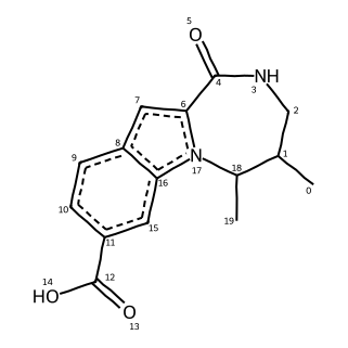 CC1CNC(=O)c2cc3ccc(C(=O)O)cc3n2C1C